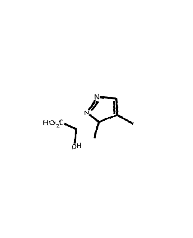 CC1=CN=NC1C.O=C(O)CO